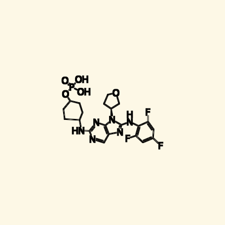 O=P(O)(O)OC1CCC(Nc2ncc3nc(Nc4c(F)cc(F)cc4F)n([C@H]4CCOC4)c3n2)CC1